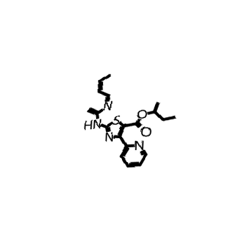 C=C(/N=C\C=C/C)Nc1nc(-c2ccccn2)c(C(=O)OC(C)CC)s1